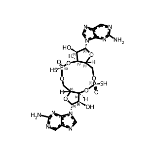 Nc1ncc2ncn([C@@H]3O[C@@H]4CO[P@@](=O)(S)O[C@H]5[C@@H](O)[C@H](n6cnc7cnc(N)nc76)O[C@@H]5CO[P@](=O)(S)O[C@H]4[C@H]3O)c2n1